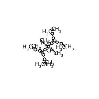 CCCCCCc1cc(-c2ccc(N(c3ccc(-c4ccc(CC(C)C)cc4)cc3)c3ccc(-c4ccc(C(C)(I)CC)cc4)cc3)cc2C)c(CCCCCC)cc1-c1ccc(N(c2ccc(-c3ccc(CC(C)C)cc3)cc2)c2ccc(-c3ccc(C(C)(N)CC)cc3)cc2)cc1C